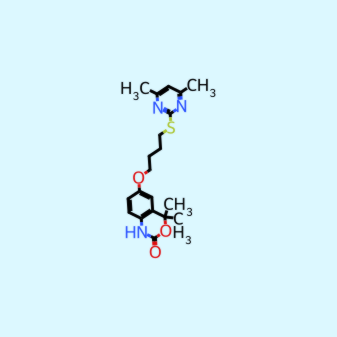 Cc1cc(C)nc(SCCCCOc2ccc3c(c2)C(C)(C)OC(=O)N3)n1